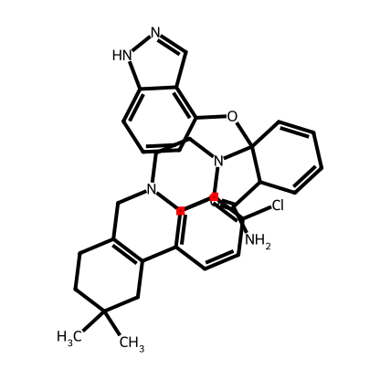 CC1(C)CCC(CN2CCN(C3(Oc4cccc5[nH]ncc45)C=CC=CC3C(N)=O)CC2)=C(c2ccc(Cl)cc2)C1